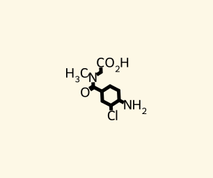 CN(CC(=O)O)C(=O)C1CCC(N)C(Cl)C1